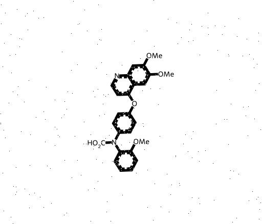 COc1cc2nccc(Oc3ccc(N(C(=O)O)c4ccccc4OC)cc3)c2cc1OC